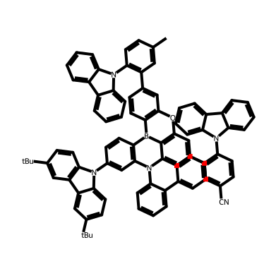 Cc1ccc(-n2c3ccccc3c3ccccc32)c(-c2ccc3c(c2)Oc2cc(-c4cc(C#N)ccc4-n4c5ccccc5c5ccccc54)cc4c2B3c2ccc(-n3c5ccc(C(C)(C)C)cc5c5cc(C(C)(C)C)ccc53)cc2N4c2ccccc2-c2ccccc2)c1